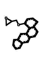 c1ccc2cc3c(ccc4cccc(OCC5CO5)c43)cc2c1